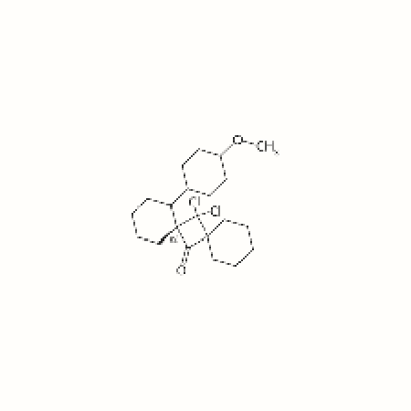 COC1CCC(C2CCCC[C@@]23C(=O)C2(CCCCC2)C3(Cl)Cl)CC1